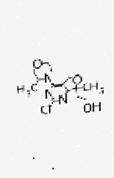 C[C@H]1COCCN1c1nc(Cl)nc2c1COC2(C)CCO